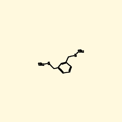 CC(C)(C)SCc1cccc(CSC(C)(C)C)c1